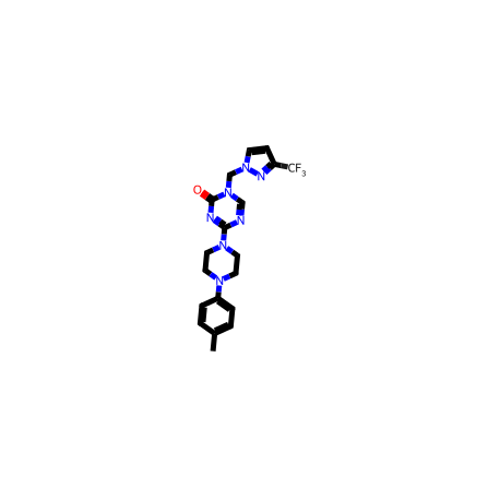 Cc1ccc(N2CCN(c3ncn(Cn4ccc(C(F)(F)F)n4)c(=O)n3)CC2)cc1